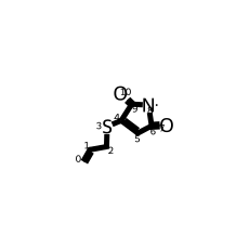 C=CCSC1=CC(=O)[N]C1=O